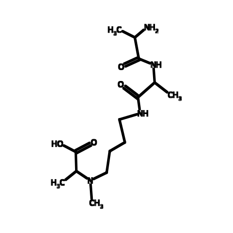 CC(N)C(=O)NC(C)C(=O)NCCCCN(C)C(C)C(=O)O